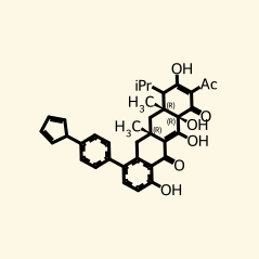 CC(=O)C1=C(O)C(C(C)C)[C@@]2(C)C[C@@]3(C)Cc4c(-c5ccc(C6C=CC=C6)cc5)ccc(O)c4C(=O)C3=C(O)[C@@]2(O)C1=O